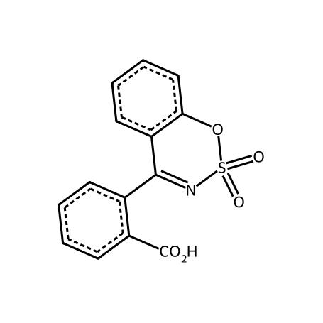 O=C(O)c1ccccc1C1=NS(=O)(=O)Oc2ccccc21